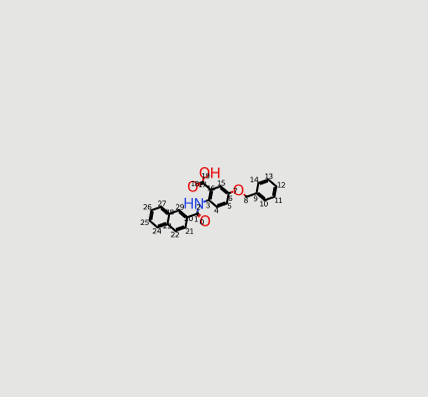 O=C(Nc1ccc(OCc2ccccc2)cc1C(=O)O)c1ccc2ccccc2c1